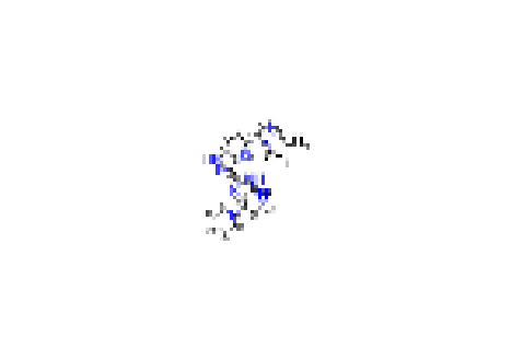 Cc1ncc(-c2ccc3[nH]nc(-c4nc5c(N6CCCCC6)ccnc5[nH]4)c3n2)n1C